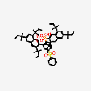 CCC(C)(C)c1cc(C(C)(C)CC)c2cc(-c3cc(S(=O)(=O)c4ccccc4)ccc3P(O)(O)(O)c3cc4c(C(C)(C)CC)cc(C(C)(C)CC)cc4cc3C(C)(C)CC)c(C(C)(C)CC)cc2c1